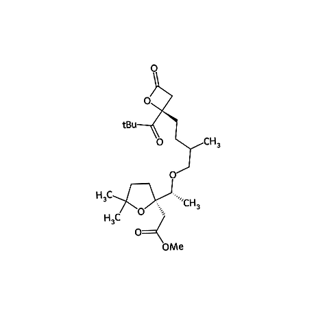 COC(=O)C[C@@]1([C@@H](C)OCC(C)CC[C@]2(C(=O)C(C)(C)C)CC(=O)O2)CCC(C)(C)O1